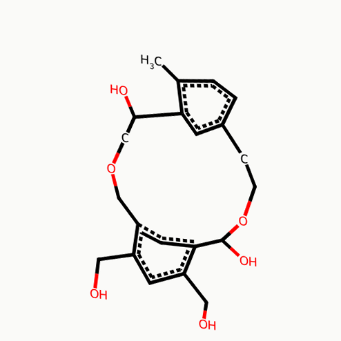 Cc1ccc2cc1C(O)COCc1cc(c(CO)cc1CO)C(O)OCC2